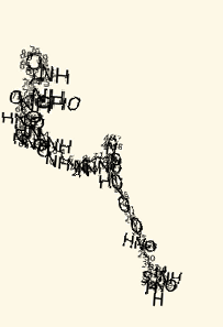 NC(=O)C(CCCCn1cc(CC(NC(=O)COCCOCCOCCNC(=O)CCCC[C@H]2SC[C@H]3NC(=O)N[C@H]32)C(=O)N2CCCC2)nn1)NC(=O)CNC(=O)[C@H](Cc1c[nH]cn1)NC(=O)CNC(=O)[C@H](Cc1c[nH]c2ccccc12)NC=O